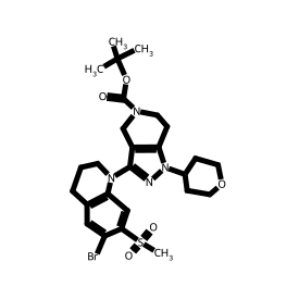 CC(C)(C)OC(=O)N1CCc2c(c(N3CCCc4cc(Br)c(S(C)(=O)=O)cc43)nn2C2CCOCC2)C1